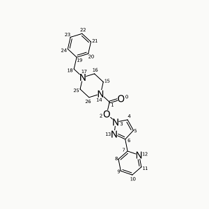 O=C(On1ccc(-c2ccccn2)n1)N1CCN(Cc2ccccc2)CC1